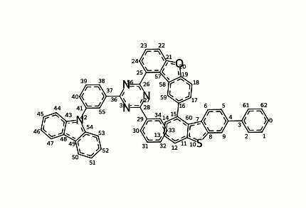 c1ccc(-c2ccc3c(c2)sc2cccc(-c4ccc5oc6cccc(-c7nc(-c8ccccc8)nc(-c8cccc(-n9c%10ccccc%10c%10ccccc%109)c8)n7)c6c5c4)c23)cc1